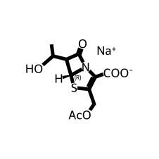 CC(=O)OCC1=C(C(=O)[O-])N2C(=O)C(C(C)O)[C@H]2S1.[Na+]